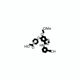 C#Cc1cccc(Nc2ncnc3cc(OCCOC)c(OC4CCN(C(=O)CO)CC4)cc23)c1